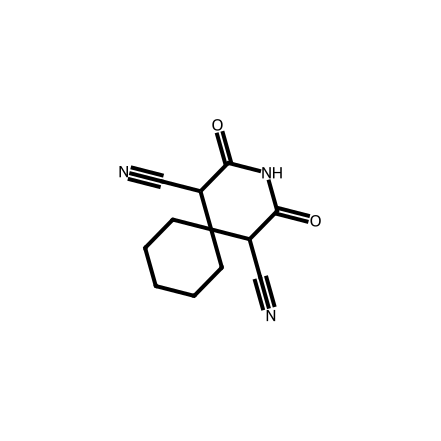 N#CC1C(=O)NC(=O)C(C#N)C12CCCCC2